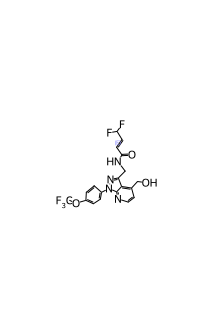 O=C(/C=C/C(F)F)NCc1nn(-c2ccc(OC(F)(F)F)cc2)c2nccc(CO)c12